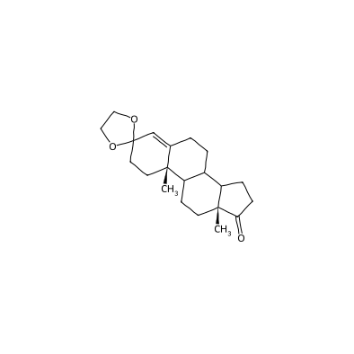 C[C@@]12CCC3C(CCC4=CC5(CC[C@]43C)OCCO5)C1CCC2=O